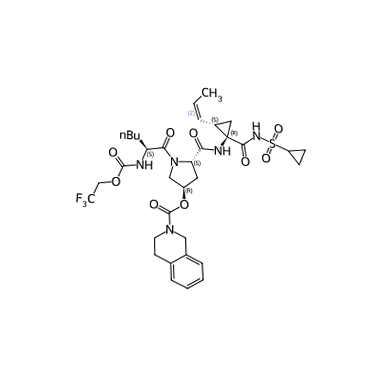 C/C=C\[C@@H]1C[C@]1(NC(=O)[C@@H]1C[C@@H](OC(=O)N2CCc3ccccc3C2)CN1C(=O)[C@H](CCCC)NC(=O)OCC(F)(F)F)C(=O)NS(=O)(=O)C1CC1